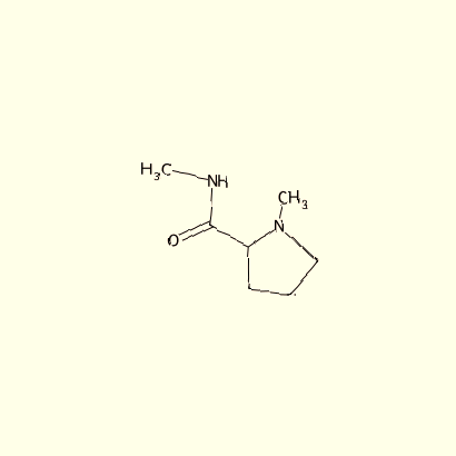 CNC(=O)C1C[CH]CN1C